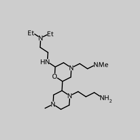 CCN(CC)CCNC1CN(CCNC)CC(C2CN(C)CCN2CCCN)O1